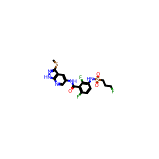 CSc1n[nH]c2ncc(NC(=O)c3c(F)ccc(NS(=O)(=O)CCCF)c3F)cc12